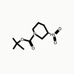 CC(C)(C)OC(=O)N1CCC[C@H]([SH](=O)=O)C1